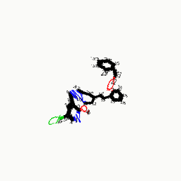 COc1ncc(Cl)cc1CN1CCC(CCc2ccccc2OCc2ccccc2)CC1